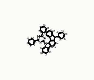 c1ccc(-c2nc(-c3ccccc3)nc(-n3c4ccccc4c4ccc5c(c43)-c3ccccc3C5c3ccccc3)n2)cc1